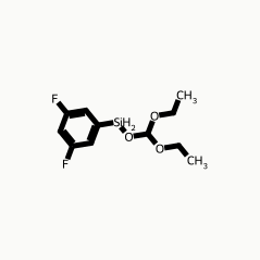 CCOC(OCC)O[SiH2]c1cc(F)cc(F)c1